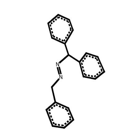 c1ccc(CN=NC(c2ccccc2)c2ccccc2)cc1